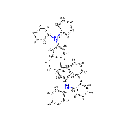 c1ccc(N(c2ccccc2)c2ccc3c(c2)CCc2cc(N(c4ccccc4)c4ccccc4)c4ccccc4c2-3)cc1